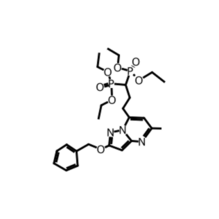 CCOP(=O)(OCC)C(CCc1cc(C)nc2cc(OCc3ccccc3)nn12)P(=O)(OCC)OCC